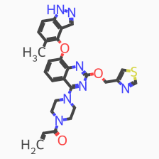 C=CC(=O)N1CCN(c2nc(OCc3cscn3)nc3c(Oc4c(C)ccc5[nH]ncc45)cccc23)CC1